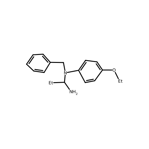 CCOc1ccc(N(Cc2ccccc2)C(N)CC)cc1